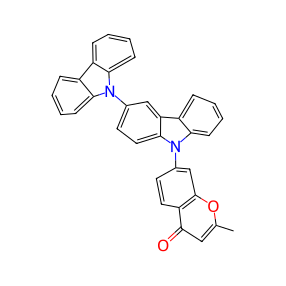 Cc1cc(=O)c2ccc(-n3c4ccccc4c4cc(-n5c6ccccc6c6ccccc65)ccc43)cc2o1